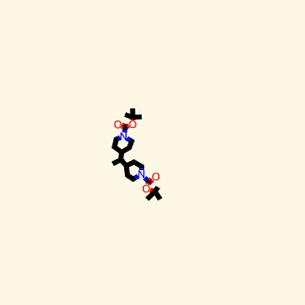 C[C](C1CCN(C(=O)OC(C)(C)C)CC1)C1CCN(C(=O)OC(C)(C)C)CC1